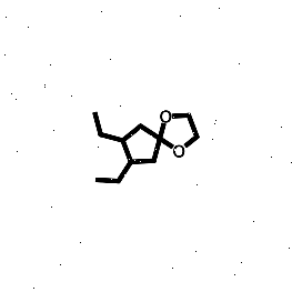 CCC1CC2(CC1CC)OCCO2